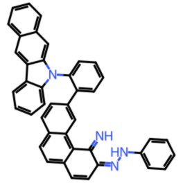 N=C1/C(=N\Nc2ccccc2)C=Cc2ccc3ccc(-c4ccccc4-n4c5ccccc5c5cc6ccccc6cc54)cc3c21